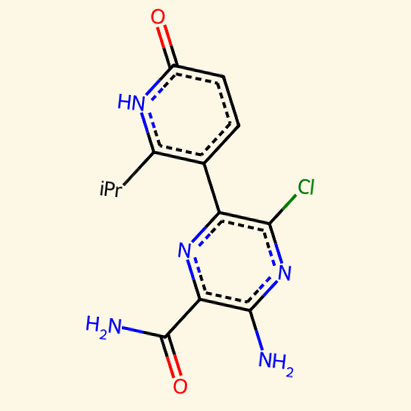 CC(C)c1[nH]c(=O)ccc1-c1nc(C(N)=O)c(N)nc1Cl